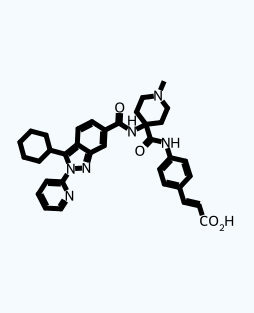 CN1CCC(NC(=O)c2ccc3c(C4CCCCC4)n(-c4ccccn4)nc3c2)(C(=O)Nc2ccc(/C=C/C(=O)O)cc2)CC1